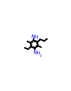 CCCc1c(C)c(N)c(CC)c(C)c1N